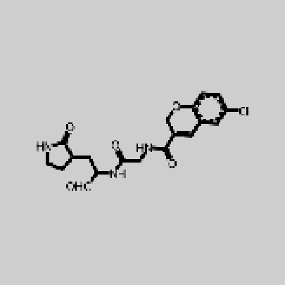 O=CC(CC1CCNC1=O)NC(=O)CNC(=O)C1=Cc2cc(Cl)ccc2OC1